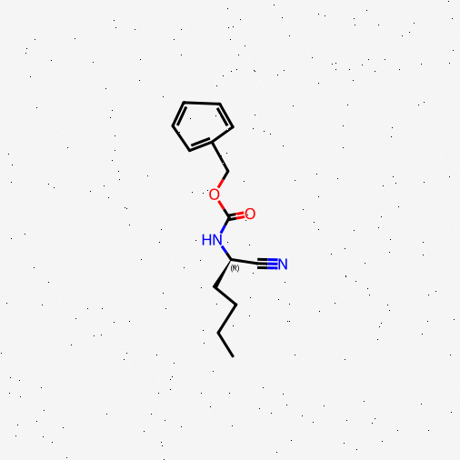 CCCC[C@H](C#N)NC(=O)OCc1ccccc1